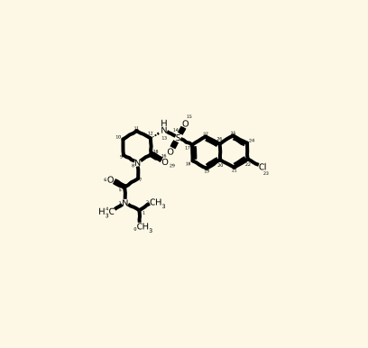 CC(C)N(C)C(=O)CN1CCC[C@H](NS(=O)(=O)c2ccc3cc(Cl)ccc3c2)C1=O